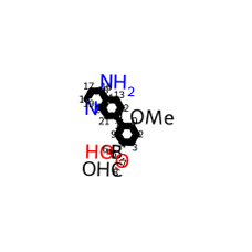 COc1ccc(B(O)OC=O)cc1-c1ccc2c(N)ccnc2c1